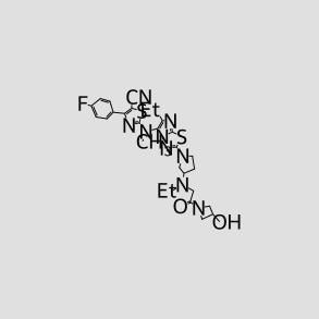 CCc1nc2sc(N3CCC(N(CC)CC(=O)N4CC(O)C4)C3)nn2c1N(C)c1nc(-c2ccc(F)cc2)c(C#N)s1